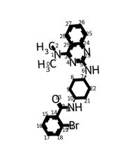 CN(C)c1nc(N[C@H]2CC[C@@H](NC(=O)c3ccccc3Br)CC2)nc2ccccc12